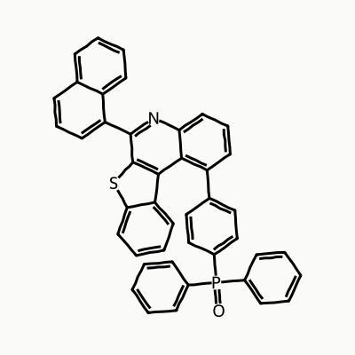 O=P(c1ccccc1)(c1ccccc1)c1ccc(-c2cccc3nc(-c4cccc5ccccc45)c4sc5ccccc5c4c23)cc1